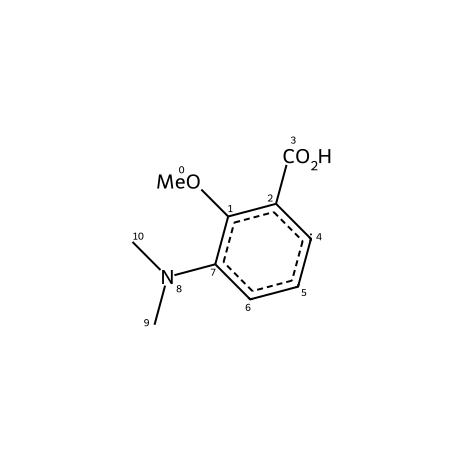 COc1c(C(=O)O)[c]ccc1N(C)C